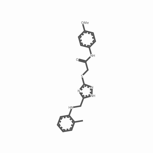 COc1ccc(NC(=O)CSc2n[nH]c(CNc3ccccc3C)n2)cc1